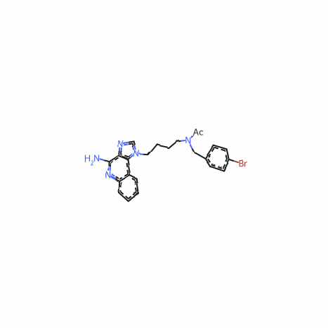 CC(=O)N(CCCCn1cnc2c(N)nc3ccccc3c21)Cc1ccc(Br)cc1